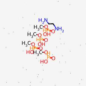 CO[PH](=O)O.CO[PH](=O)O.CO[PH](=O)O.CO[PH](=O)O.NCCN